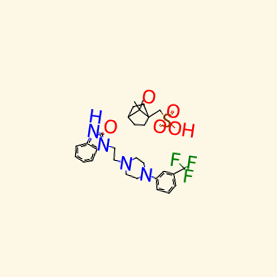 CC1(C)C2CCC1(CS(=O)(=O)O)C(=O)C2.O=c1[nH]c2ccccc2n1CCN1CCN(c2cccc(C(F)(F)F)c2)CC1